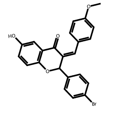 COc1ccc(C=C2C(=O)c3cc(O)ccc3OC2c2ccc(Br)cc2)cc1